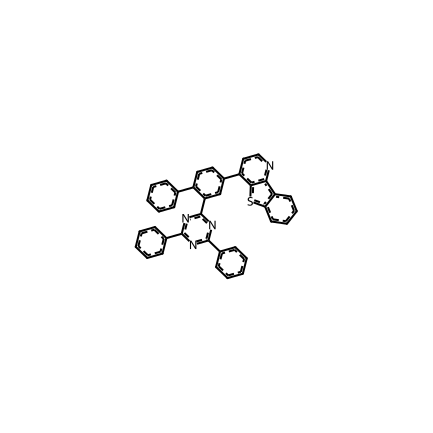 c1ccc(-c2nc(-c3ccccc3)nc(-c3cc(-c4ccnc5c4sc4ccccc45)ccc3-c3ccccc3)n2)cc1